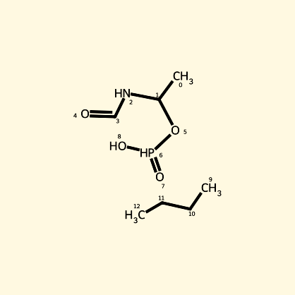 CC(NC=O)O[PH](=O)O.CCCC